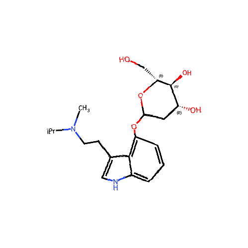 CC(C)N(C)CCc1c[nH]c2cccc(OC3C[C@@H](O)[C@H](O)[C@@H](CO)O3)c12